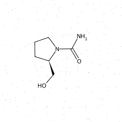 NC(=O)N1CCC[C@@H]1CO